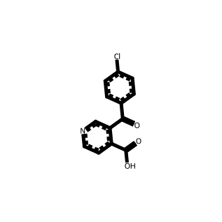 O=C(O)c1ccncc1C(=O)c1ccc(Cl)cc1